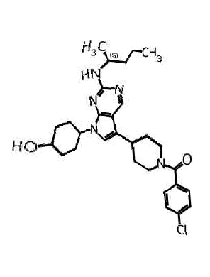 CCC[C@H](C)Nc1ncc2c(C3CCN(C(=O)c4ccc(Cl)cc4)CC3)cn(C3CCC(O)CC3)c2n1